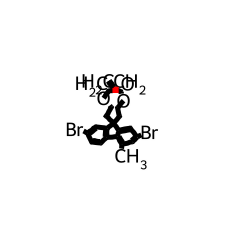 C=CC(=C)OCCC1(CCOC(=O)C=C)c2cc(Br)ccc2-c2c(C)cc(Br)cc21